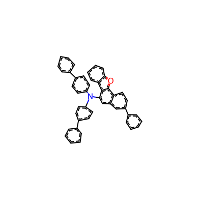 c1ccc(-c2ccc(N(c3ccc(-c4ccccc4)cc3)c3cc4cc(-c5ccccc5)ccc4c4oc5ccccc5c34)cc2)cc1